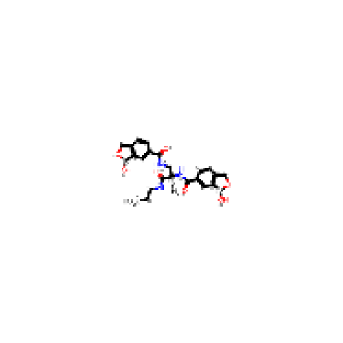 C[C@](CNC(=O)c1ccc2c(c1)B(O)OC2)(NC(=O)c1ccc2c(c1)B(O)OC2)C(=O)NCCC(=O)O